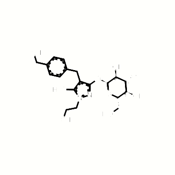 CCCn1nc(O[C@@H]2O[C@@H](CO)[C@H](O)[C@@H](O)[C@@H]2O)c(Cc2ccc(CC)cc2)c1C